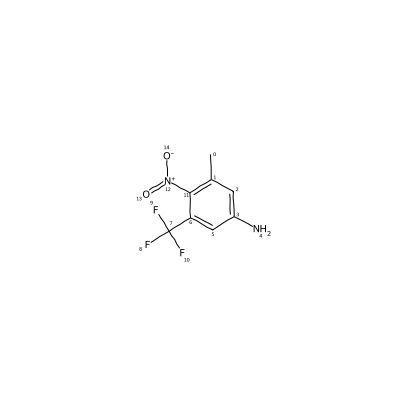 Cc1cc(N)cc(C(F)(F)F)c1[N+](=O)[O-]